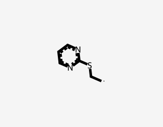 [CH2]CSc1ncccn1